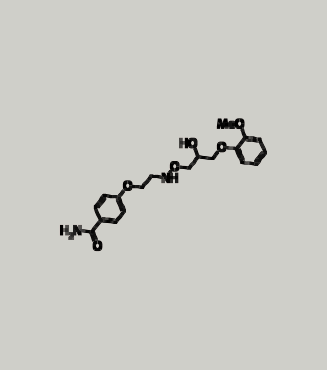 COc1ccccc1OCC(O)CONCCOc1ccc(C(N)=O)cc1